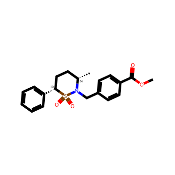 COC(=O)c1ccc(CN2[C@@H](C)CC[C@@H](c3ccccc3)S2(=O)=O)cc1